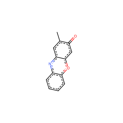 Cc1cc2nc3ccccc3oc-2cc1=O